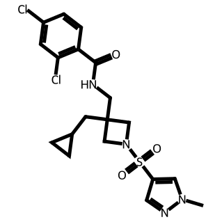 Cn1cc(S(=O)(=O)N2CC(CNC(=O)c3ccc(Cl)cc3Cl)(CC3CC3)C2)cn1